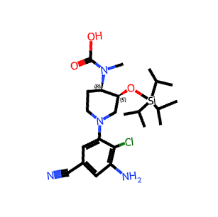 CC(C)[Si](O[C@H]1CN(c2cc(C#N)cc(N)c2Cl)CC[C@H]1N(C)C(=O)O)(C(C)C)C(C)C